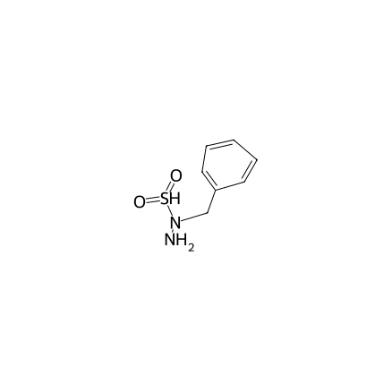 NN(Cc1ccccc1)[SH](=O)=O